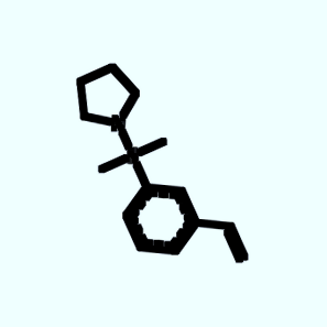 C=Cc1cccc(S(C)(C)N2CCCC2)c1